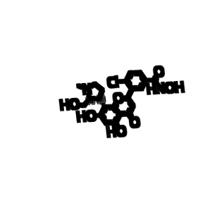 CN1CC[C@H](c2c(O)cc(O)c3c(=O)cc(-c4cc(C(=O)NO)ccc4Cl)oc23)[C@H]1CO